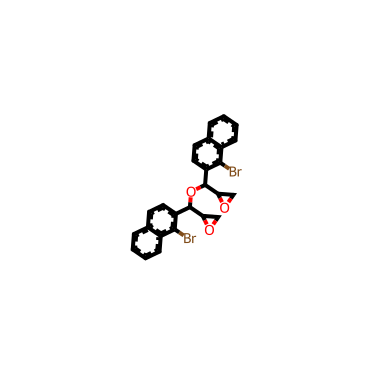 Brc1c(C(OC(c2ccc3ccccc3c2Br)C2CO2)C2CO2)ccc2ccccc12